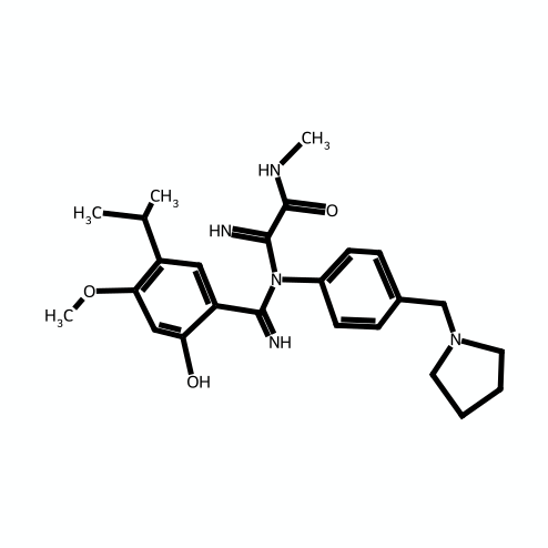 CNC(=O)C(=N)N(C(=N)c1cc(C(C)C)c(OC)cc1O)c1ccc(CN2CCCC2)cc1